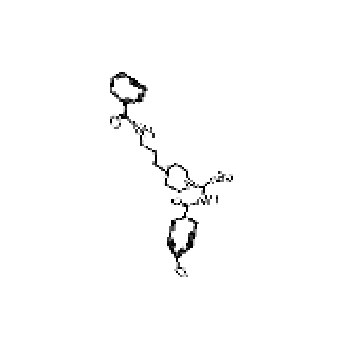 CCCCC(NC(=O)c1ccc(Cl)cc1)N1CCN(CCCNC(=O)c2ccccc2)CC1